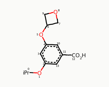 CC(C)Oc1cc(OC2COC2)cc(C(=O)O)c1